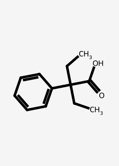 CCC(CC)(C(=O)O)c1ccccc1